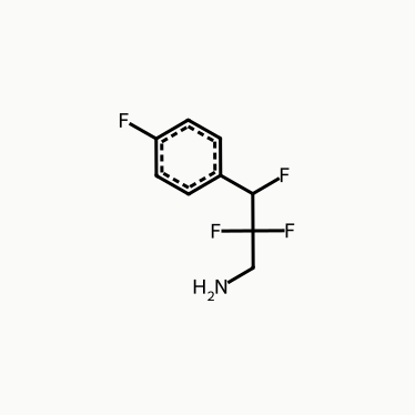 NCC(F)(F)C(F)c1ccc(F)cc1